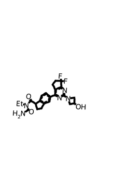 CCN(C(N)=O)C(=O)C1CCc2cc(-c3nc(N4CC(O)C4)nc4c3CCC4(F)F)ccc21